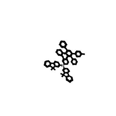 Cc1ccc(-c2cc(-c3ccccc3)c3c4ccccc4c4cc(N(c5ccc6c(c5)C(C)(C)c5ccccc5-6)c5ccc6c(c5)C(C)(C)c5ccccc5-6)ccc4c3c2-c2ccccc2)cc1